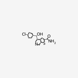 NC(=O)c1cc2c(C(O)c3ccc(Cl)cc3)cncc2s1